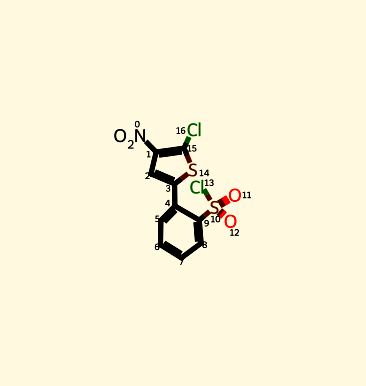 O=[N+]([O-])c1cc(-c2ccccc2S(=O)(=O)Cl)sc1Cl